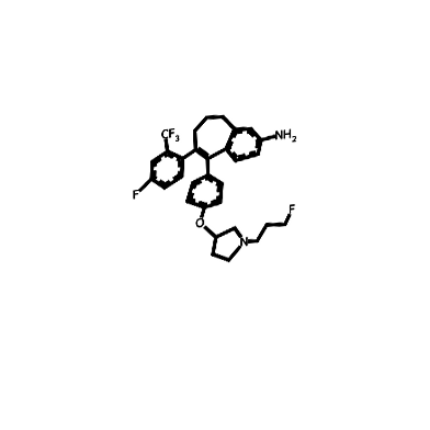 Nc1ccc2c(c1)CCCC(c1ccc(F)cc1C(F)(F)F)=C2c1ccc(OC2CCN(CCCF)C2)cc1